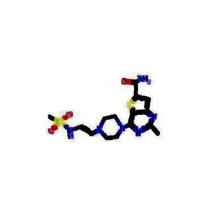 Cc1nc(N2CCN(CCNS(C)(=O)=O)CC2)c2sc(C(N)=O)cc2n1